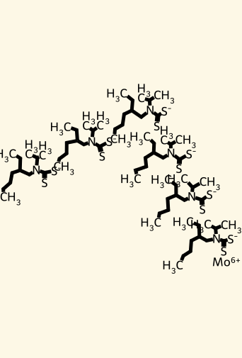 CCCCC(CC)CN(C(=S)[S-])C(C)C.CCCCC(CC)CN(C(=S)[S-])C(C)C.CCCCC(CC)CN(C(=S)[S-])C(C)C.CCCCC(CC)CN(C(=S)[S-])C(C)C.CCCCC(CC)CN(C(=S)[S-])C(C)C.CCCCC(CC)CN(C(=S)[S-])C(C)C.[Mo+6]